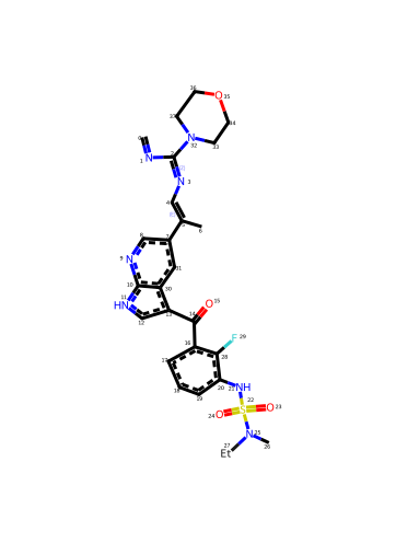 C=N/C(=N\C=C(/C)c1cnc2[nH]cc(C(=O)c3cccc(NS(=O)(=O)N(C)CC)c3F)c2c1)N1CCOCC1